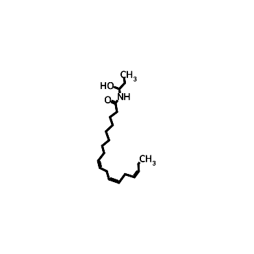 CC/C=C\C/C=C\C/C=C\CCCCCCCC(=O)NC(O)CC